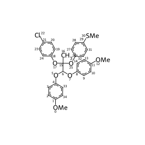 COc1ccc(OC(Oc2ccc(OC)cc2)C(C)(Oc2ccc(Cl)cc2)Oc2ccc(SC)cc2)cc1